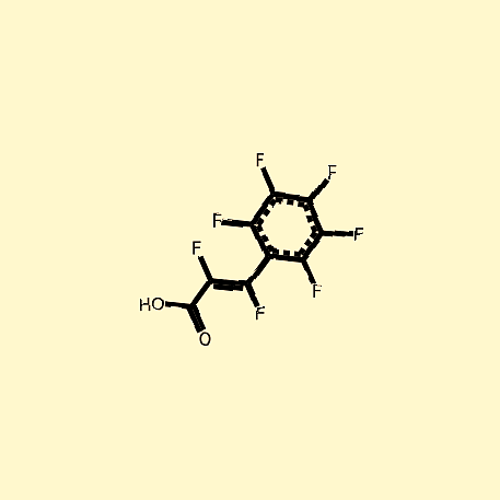 O=C(O)C(F)=C(F)c1c(F)c(F)c(F)c(F)c1F